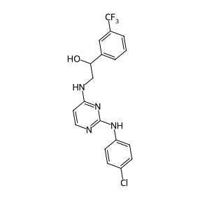 OC(CNc1ccnc(Nc2ccc(Cl)cc2)n1)c1cccc(C(F)(F)F)c1